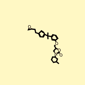 CC1CCCC(N2CC(COc3cccc(C(C)(C)c4ccc(CCC5CO5)cc4)c3)OC2=O)C1